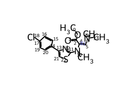 COC(=O)/C(=C\N(C)C)N(C)c1nc(-c2ccc(Cl)cc2)cs1